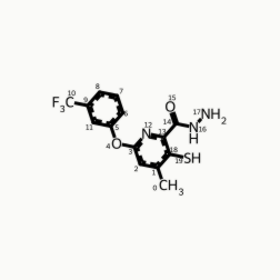 Cc1cc(Oc2cccc(C(F)(F)F)c2)nc(C(=O)NN)c1S